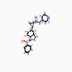 [O-][S+](c1ccccc1)N1CCc2cc(C3CC3NCc3ccncc3)ccc21